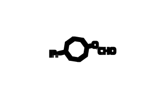 CC(C)C1CCCC(OC=O)CCC1